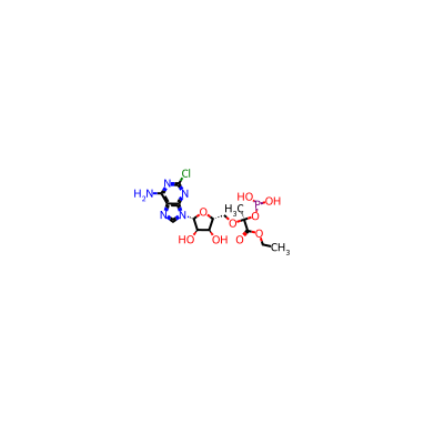 CCOC(=O)[C@@](C)(OC[C@H]1O[C@@H](n2cnc3c(N)nc(Cl)nc32)[C@H](O)[C@@H]1O)OP(O)O